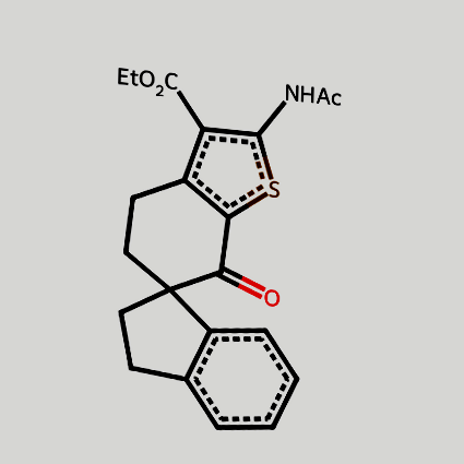 CCOC(=O)c1c(NC(C)=O)sc2c1CCC1(CCc3ccccc31)C2=O